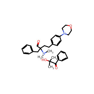 CC(C)(O)C(=O)c1ccccc1.CN(C)C(C=O)(CCc1ccc(N2CCOCC2)cc1)Cc1ccccc1